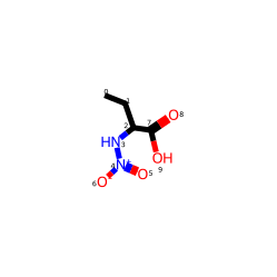 CCC(N[N+](=O)[O-])C(=O)O